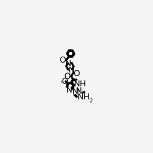 C=CN(/N=C(/C)N)c1ncc(OC)c2c(C(=O)C(=O)N3CCN(C(=O)c4ccccc4)CC3)c[nH]c12